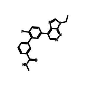 CCn1cnc2c(-c3ccc(F)c(-c4cccc(C(=O)NC)c4)c3)cnnc21